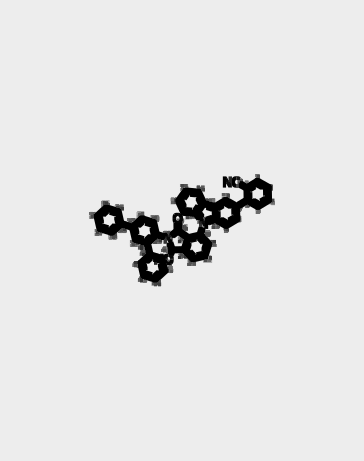 N#Cc1ccccc1-c1ccc2c(c1)c1ccccc1n2-c1cccc2c1C(=O)N(c1ccc(-c3ccccc3)cc1-c1ccccc1)C2O